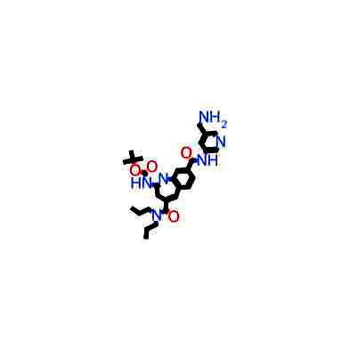 CCCN(CCC)C(=O)C1=Cc2ccc(C(=O)Nc3cncc(CN)c3)cc2N=C(NC(=O)OC(C)(C)C)C1